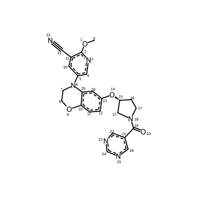 COc1ncc(N2CCOc3ccc(O[C@H]4CCN(C(=O)c5cncnc5)C4)cc32)cc1C#N